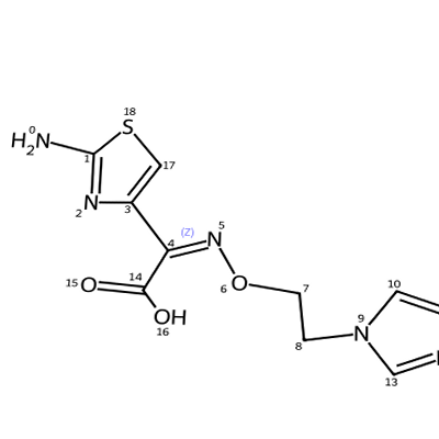 Nc1nc(/C(=N/OCCn2ccnc2)C(=O)O)cs1